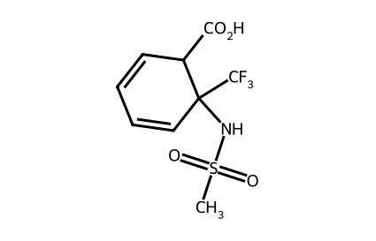 CS(=O)(=O)NC1(C(F)(F)F)C=CC=CC1C(=O)O